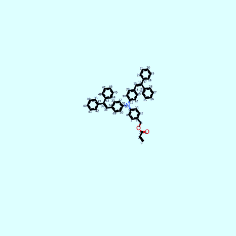 C=CC(=O)OCc1ccc(N(c2ccc(C=C(c3ccccc3)c3ccccc3)cc2)c2ccc(C=C(c3ccccc3)c3ccccc3)cc2)cc1